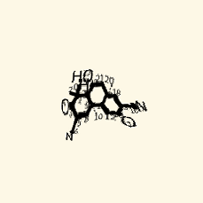 CC1(C)C(=O)C(C#N)=C[C@]2(C)C3=CC(=O)C(C#N)=C[C@]3(C)C[C@H](O)[C@@H]12